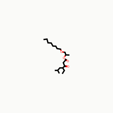 CCCCCCCCOCC(C)OC(=O)CC(=O)C(CC)CC(C)C